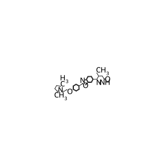 CCC1CC(=O)NN=C1c1ccc2nc(-c3ccc(OCCN4[C@@H](C)CC[C@@H]4C)cc3)oc2c1